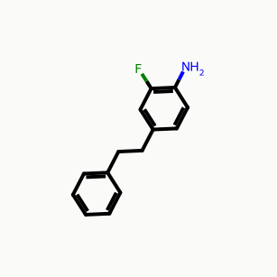 Nc1ccc(CCc2ccccc2)cc1F